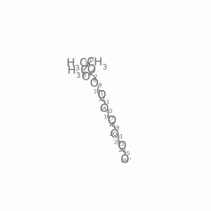 CC(C)(C)OC(=O)COCCOCCOCCOCCOCCOCC[O]